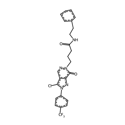 O=C(CCCn1ncc2c(Cl)n(-c3ccc(C(F)(F)F)cc3)nc2c1=O)NCCc1ccccc1